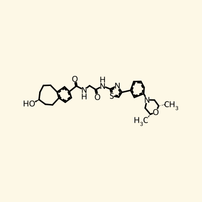 C[C@@H]1CN(c2cccc(-c3csc(NC(=O)CNC(=O)c4ccc5c(c4)CCC[C@H](O)CC5)n3)c2)C[C@H](C)O1